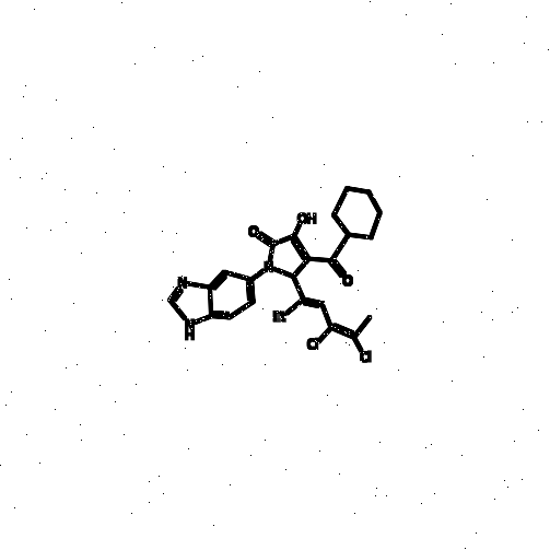 CC/C(=C\C(Cl)=C(/C)Cl)C1C(C(=O)C2CCCCC2)=C(O)C(=O)N1c1ccc2[nH]cnc2c1